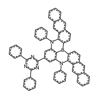 c1ccc(-c2nc(-c3ccccc3)nc(-c3cc4c5c(c3)N(c3ccccc3)c3c(ccc6cc7ccccc7cc36)B5c3ccc5cc6ccccc6cc5c3N4c3ccccc3)n2)cc1